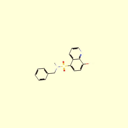 CCN(Cc1ccccc1)S(=O)(=O)c1ccc(O)c2ncccc12